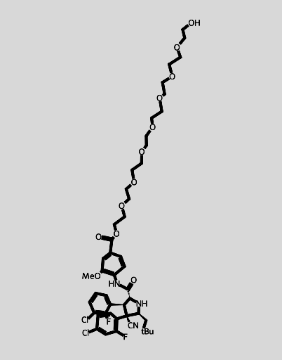 COc1cc(C(=O)OCCOCCOCCOCCOCCOCCOCCOCCO)ccc1NC(=O)[C@@H]1N[C@@H](CC(C)(C)C)[C@](C#N)(c2ccc(Cl)cc2F)[C@H]1c1cccc(Cl)c1F